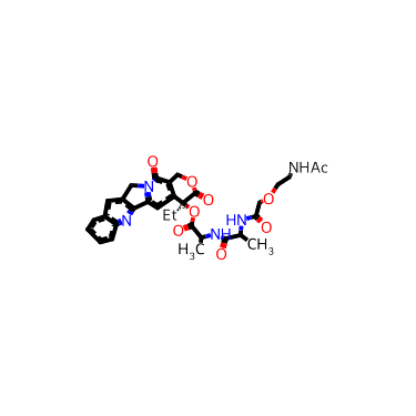 CC[C@@]1(OC(=O)C(C)NC(=O)C(C)NC(=O)COCCNC(C)=O)C(=O)OCc2c1cc1n(c2=O)Cc2cc3ccccc3nc2-1